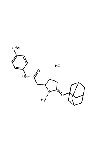 COc1ccc(NC(=O)CC2CSC(=NC34CC5CC(CC(C5)C3)C4)N2C)cc1.Cl